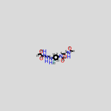 CC(=O)NC[C@H]1CN(c2ccc(NCNNC(=O)C(C)=O)c(F)c2)C(=O)O1